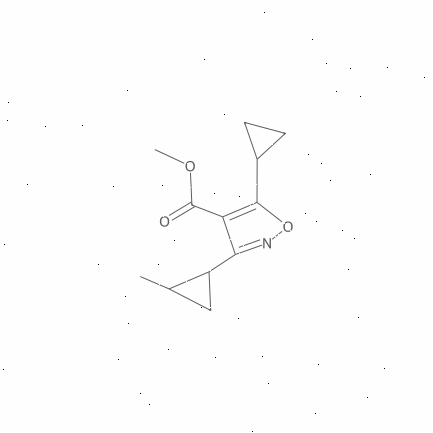 COC(=O)c1c(C2CC2C)noc1C1CC1